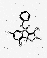 CC1=C(S(=O)(=O)Nc2ccccc2)C(C)(c2ncc(C(F)(F)F)cc2Cl)ON1Cl